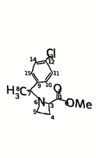 COC(=O)C1CCN1C(C)c1ccc(Cl)cc1